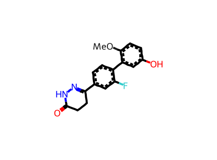 COc1ccc(O)cc1-c1ccc(C2=NNC(=O)CC2)cc1F